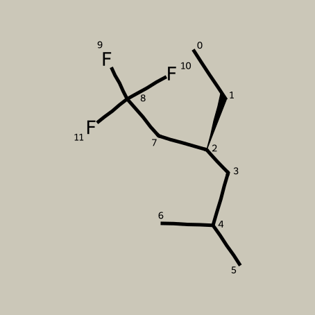 CC[C@@H](CC(C)C)CC(F)(F)F